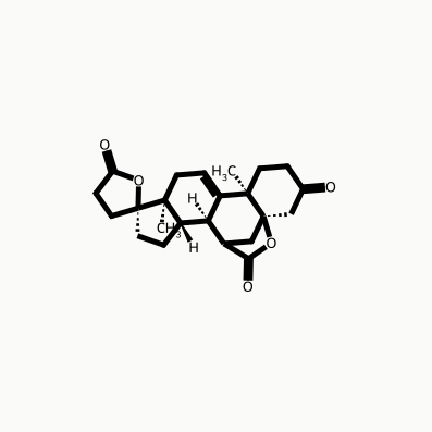 C[C@]12CC=C3[C@@H](C4C[C@]5(CC(=O)CC[C@]35C)OC4=O)[C@@H]1CC[C@@]21CCC(=O)O1